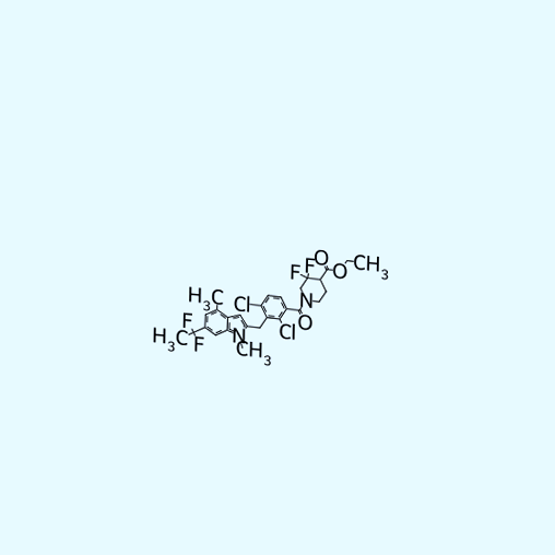 CCOC(=O)C1CCN(C(=O)c2ccc(Cl)c(Cc3cc4c(C)cc(C(C)(F)F)cc4n3C)c2Cl)CC1(F)F